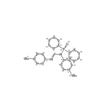 CC(C)(C)c1ccc(N=CN(c2ccc(C(C)(C)C)cc2)P(=O)(c2ccccc2)c2ccccc2)cc1